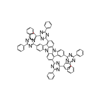 c1ccc(-c2nc(-c3ccccc3)nc(-c3ccc4c(c3)c3c(-c5nc(-c6ccccc6)nc(-c6ccccc6)n5)ccc5c3n4c3ccc(-c4nc(-c6ccccc6)nc(-c6ccccc6)n4)c4c6cc(-c7nc(-c8ccccc8)nc(-c8ccccc8)n7)ccc6n5c43)n2)cc1